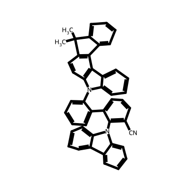 CC1(C)c2ccccc2-c2c1ccc1c2c2ccccc2n1-c1ccccc1-c1cccc(C#N)c1-n1c2ccccc2c2ccccc21